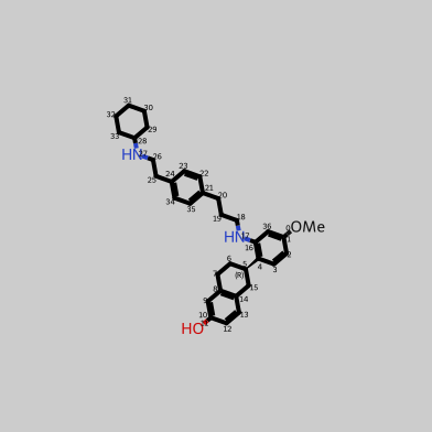 COc1ccc([C@@H]2CCc3cc(O)ccc3C2)c(NCCCc2ccc(CCNC3CCCCC3)cc2)c1